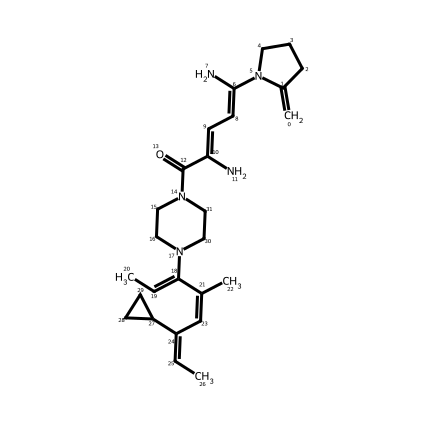 C=C1CCCN1/C(N)=C/C=C(\N)C(=O)N1CCN(C(=C\C)/C(C)=C\C(=C/C)C2CC2)CC1